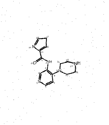 O=C(Nc1cnccc1N1CCNCC1)C1=CCC=N1